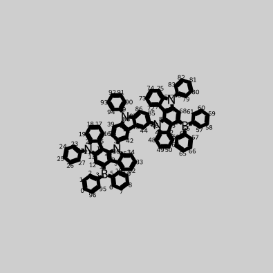 c1ccc(B(c2ccccc2)c2cc3c(c4ccccc4n3-c3ccccc3)c3c2c2ccccc2n3-c2ccc3c(c2)c2cc(-n4c5ccccc5c5c(B(c6ccccc6)c6ccccc6)cc6c(c7ccccc7n6-c6ccccc6)c54)ccc2n3-c2ccccc2)cc1